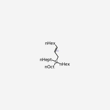 CCCCCC/C=C/C[Si](CCCCCC)(CCCCCCC)CCCCCCCC